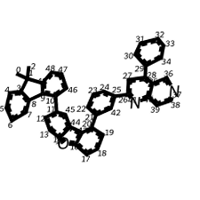 CC1(C)c2ccccc2-c2c(-c3ccc4oc5cccc(-c6cccc(-c7cc(-c8ccccc8)c8cnccc8n7)c6)c5c4c3)cccc21